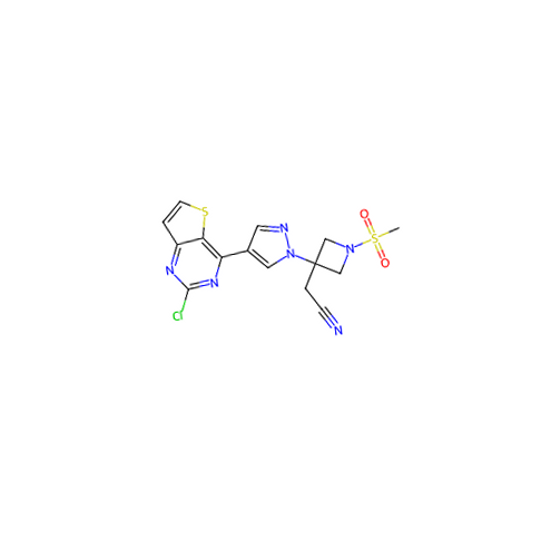 CS(=O)(=O)N1CC(CC#N)(n2cc(-c3nc(Cl)nc4ccsc34)cn2)C1